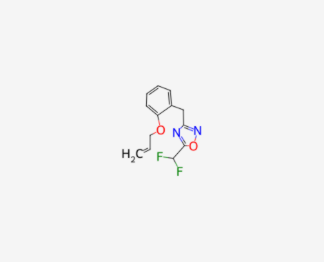 C=CCOc1ccccc1Cc1noc(C(F)F)n1